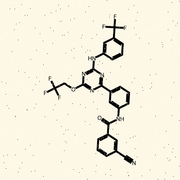 N#Cc1cccc(C(=O)Nc2cccc(-c3nc(Nc4cccc(C(F)(F)F)c4)nc(OCC(F)(F)F)n3)c2)c1